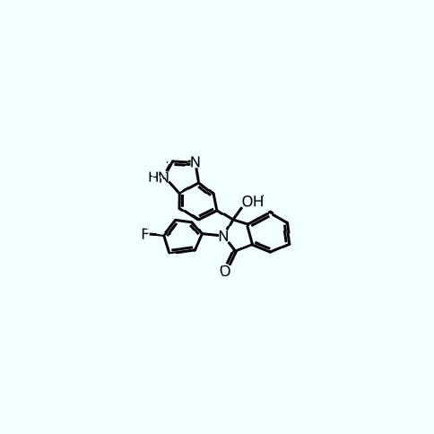 O=C1c2ccccc2C(O)(c2ccc3[nH][c]nc3c2)N1c1ccc(F)cc1